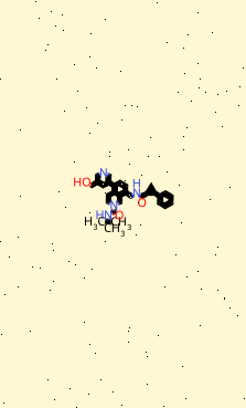 CC(C)(C)NC(=O)N1CCc2c(-c3cncc(CO)c3)ccc(CNC(=O)C3CC3c3ccccc3)c2C1